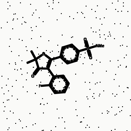 CNS(=O)(=O)c1ccc(C2=C(c3ccccc3F)C(=O)C(C)(C)O2)cc1